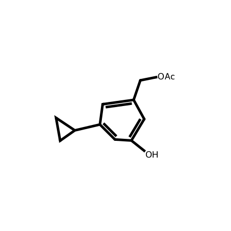 CC(=O)OCc1cc(O)cc(C2CC2)c1